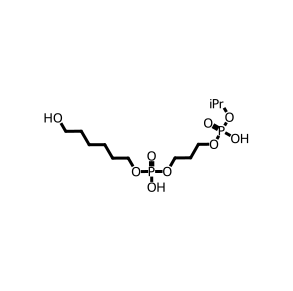 CC(C)OP(=O)(O)OCCCOP(=O)(O)OCCCCCCO